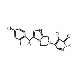 Cc1cc(Cl)ccc1C(=O)c1cnc2n1CCN(c1cn[nH]c(=O)c1Cl)C2